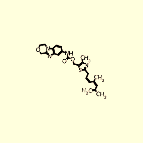 C=C(C)/C=C(C)\C=C/Cc1nc(C)c(COC(=O)Nc2ccc3c(c2)nc2n3CCOC2)s1